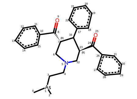 C[As](C)CCN1C[C@H](C(=O)c2ccccc2)C(c2ccccc2)[C@@H](C(=O)c2ccccc2)C1